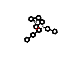 c1ccc(-c2ccc(-c3ccc(N(c4ccc(-c5ccccc5)cc4)c4ccccc4-c4ccccc4-n4c5ccccc5c5ccccc54)cc3)cc2)cc1